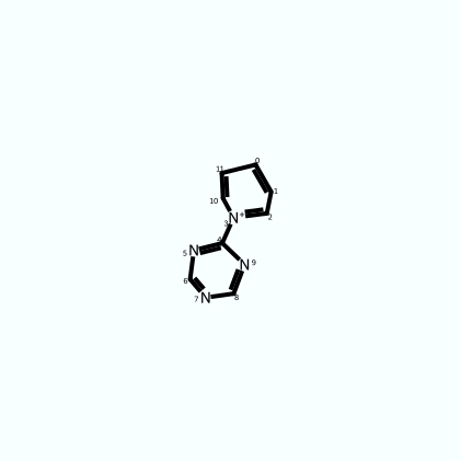 c1cc[n+](-c2ncncn2)cc1